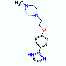 CN1CCN(CCOc2ccc(-c3ncc[nH]3)cc2)CC1